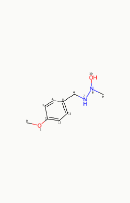 COc1ccc(CNN(C)O)cc1